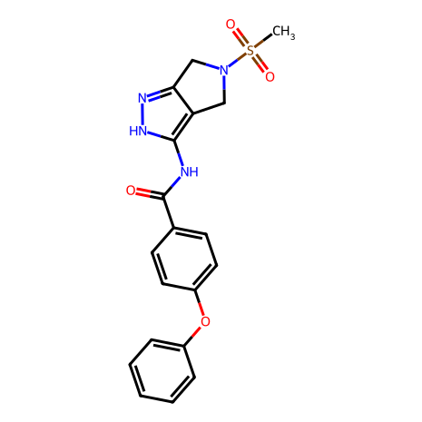 CS(=O)(=O)N1Cc2n[nH]c(NC(=O)c3ccc(Oc4ccccc4)cc3)c2C1